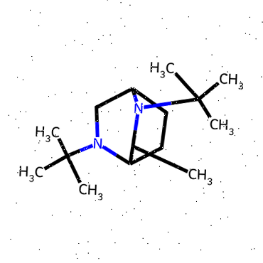 CC1C2CCC(CN2C(C)(C)C)N1C(C)(C)C